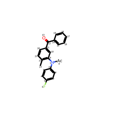 CC(=O)N(c1ccc(F)cc1)c1cc(C(=O)c2ccccc2)ccc1C